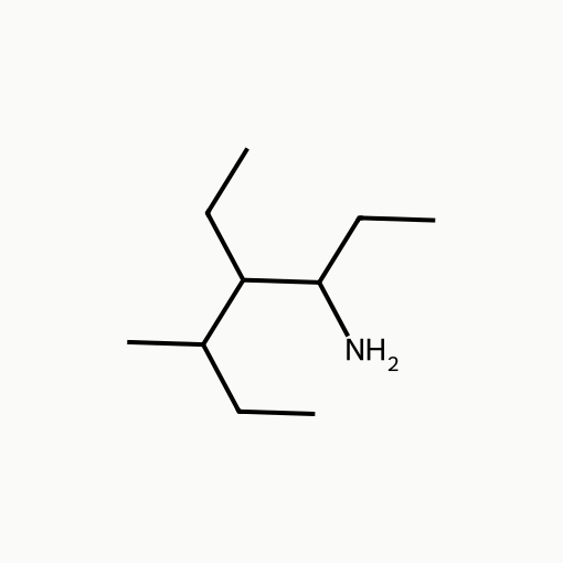 CCC(C)C(CC)C(N)CC